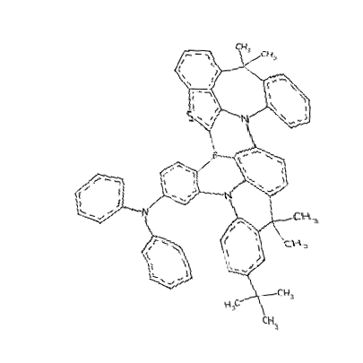 CC(C)(C)c1ccc2c(c1)C(C)(C)c1ccc3c4c1N2c1cc(N(c2ccccc2)c2ccccc2)ccc1B4c1sc2cccc4c2c1N3c1ccccc1C4(C)C